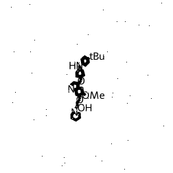 COc1cc2c(Oc3ccc(Nc4ccc(C(C)(C)C)cc4)cc3)ccnc2cc1OCC(O)CN1CCCCC1